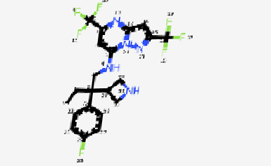 CCC(CNc1cc(C(F)(F)F)nc2cc(C(F)(F)F)nn12)(c1ccc(F)cc1)C1CNC1